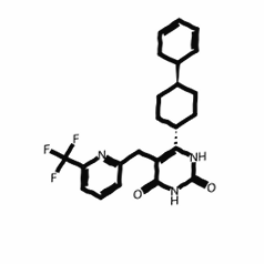 O=c1[nH]c(=O)c(Cc2cccc(C(F)(F)F)n2)c([C@H]2CC[C@H](C3C=CC=CC3)CC2)[nH]1